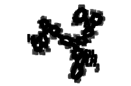 CC1(C)C2=C(CCC(N3C4CCC(C5CCC6=C(C5)N(C5=CCCC=C5)C5C=CC=CC65)C=C4C4CC(C5=CC=C6C7C=CC=CC7N(C7C=C8NCC=CC8=CC7)C6C5)C=CC43)=C2)C2C=CC=CC21